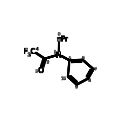 CCCN(C(=O)C(F)(F)F)c1ccccc1